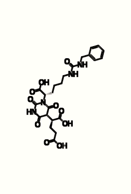 O=C(O)CC[C@H](C(=O)O)C1C(=O)NC(=O)N([C@@H](CCCCNC(=O)NCc2ccccc2)C(=O)O)C1=O